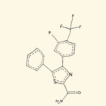 NC(=O)c1nc(-c2ccc(C(F)(F)F)c(F)c2)c(-c2ccccc2)s1